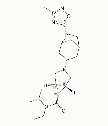 CCN(C(=O)[C@H]1[C@@H]2CN(C3CC4CC(C3)N(c3nc(C)no3)C4)C[C@@H]21)C(C)C